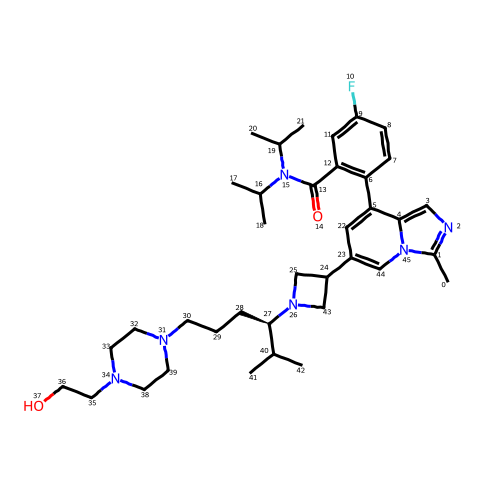 Cc1ncc2c(-c3ccc(F)cc3C(=O)N(C(C)C)C(C)C)cc(C3CN([C@H](CCCN4CCN(CCO)CC4)C(C)C)C3)cn12